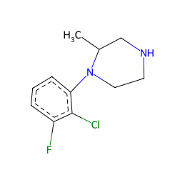 CC1CNCCN1c1cccc(F)c1Cl